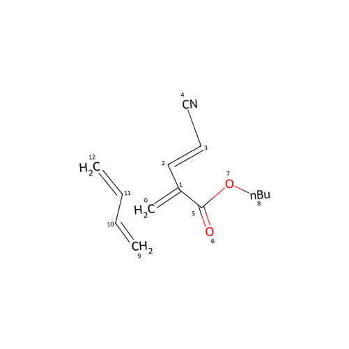 C=C(C=CC#N)C(=O)OCCCC.C=CC=C